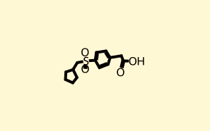 O=C(O)Cc1ccc(S(=O)(=O)CC2CCCC2)cc1